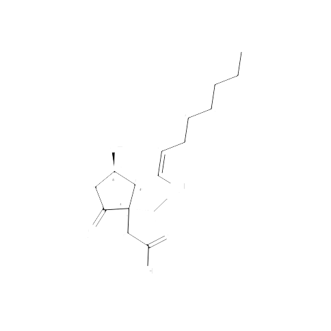 CCCCCCC=C(O)[C@H]1[C@H](O)CC(=O)[C@]1(CC)CC(=O)O